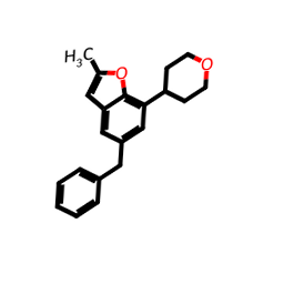 Cc1cc2cc(Cc3ccccc3)cc(C3CCOCC3)c2o1